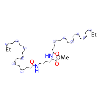 CC/C=C\C/C=C\C/C=C\C/C=C\C/C=C\C/C=C\CCC(=O)NCCCCC(NC(=O)CC/C=C\C/C=C\C/C=C\C/C=C\C/C=C\C/C=C\CC)C(=O)OC